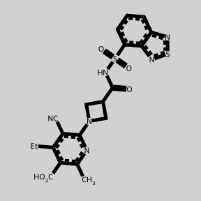 CCc1c(C#N)c(N2CC(C(=O)NS(=O)(=O)c3cccc4nsnc34)C2)nc(C)c1C(=O)O